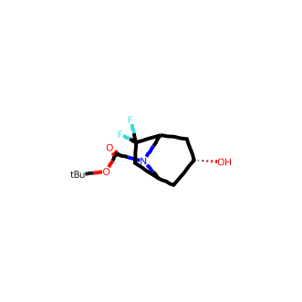 CC(C)(C)OC(=O)N1C2C[C@@H](O)CC1C(F)(F)C2